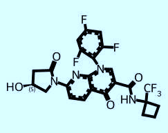 O=C(NC1(C(F)(F)F)CCC1)c1cn(-c2c(F)cc(F)cc2F)c2nc(N3C[C@@H](O)CC3=O)ccc2c1=O